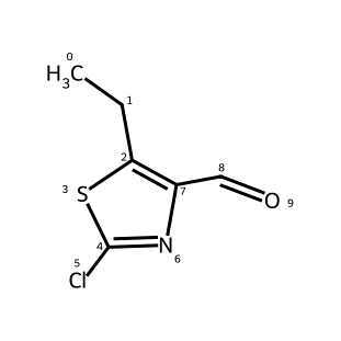 CCc1sc(Cl)nc1C=O